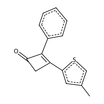 Cc1csc(C2=C(c3ccccc3)C(=O)C2)c1